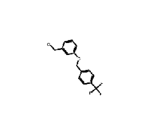 FC(F)(F)c1ccc(COc2cccc(CCl)c2)cc1